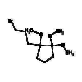 COC1(CCCBr)CCCC1(OC)O[SiH3]